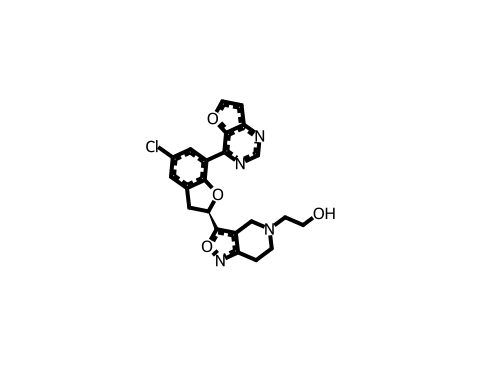 OCCN1CCc2noc([C@H]3Cc4cc(Cl)cc(-c5ncnc6ccoc56)c4O3)c2C1